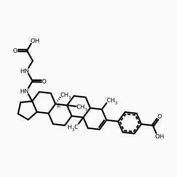 CC1C(c2ccc(C(=O)O)cc2)=CCC2(C)C1CCC1(C)C2CCC2C3CCCC3(NC(=O)NCC(=O)O)CC[C@]21C